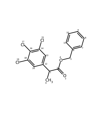 CC(C(=O)OCc1ccccc1)c1cc(Cl)c(Cl)c(Cl)c1